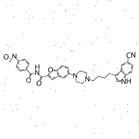 N#Cc1ccc2[nH]cc(CCCCN3CCN(c4ccc5oc(C(=O)NC(=O)c6ccc([N+](=O)[O-])cc6)cc5c4)CC3)c2c1